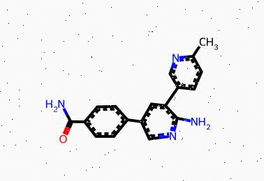 Cc1ccc(-c2cc(-c3ccc(C(N)=O)cc3)cnc2N)cn1